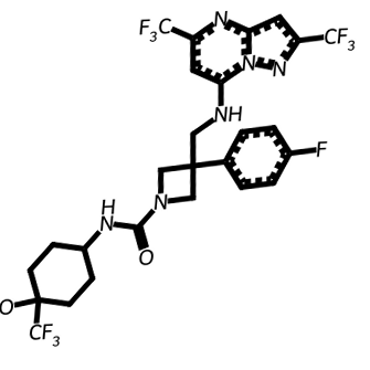 O=C(NC1CCC(O)(C(F)(F)F)CC1)N1CC(CNc2cc(C(F)(F)F)nc3cc(C(F)(F)F)nn23)(c2ccc(F)cc2)C1